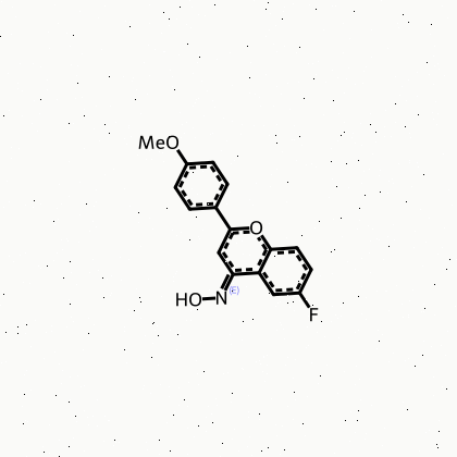 COc1ccc(-c2c/c(=N\O)c3cc(F)ccc3o2)cc1